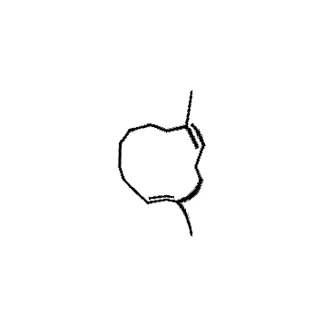 C/C1=C/CCC/C(C)=C\C1